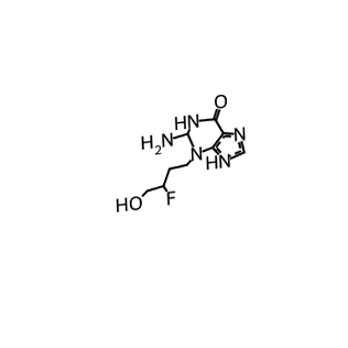 NC1NC(=O)c2nc[nH]c2N1CCC(F)CO